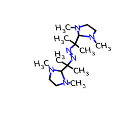 CN1CCN(C)C1C(C)(C)N=NC(C)(C)C1N(C)CCN1C